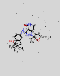 CC1(C)Cc2cc(Nc3nn(C4(CC#N)CCC(C(=O)O)OC4)c4cc[nH]c(=O)c34)ccc2C1(O)C(F)(F)F